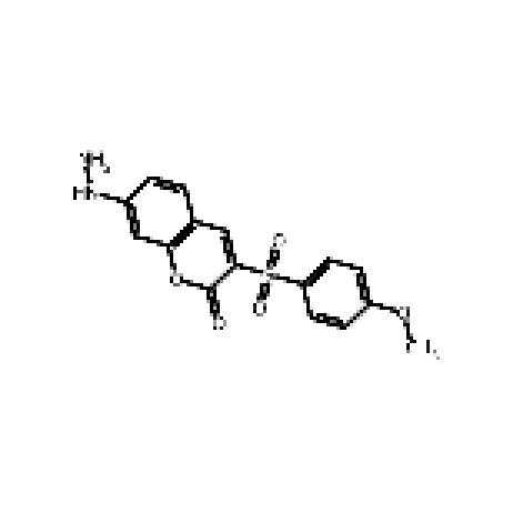 COc1ccc(S(=O)(=O)c2cc3ccc(NN)cc3oc2=O)cc1